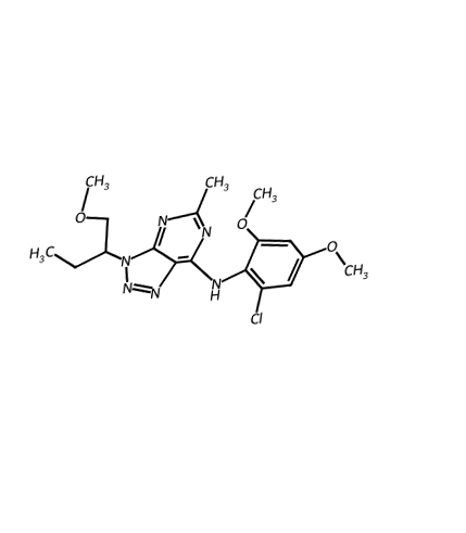 CCC(COC)n1nnc2c(Nc3c(Cl)cc(OC)cc3OC)nc(C)nc21